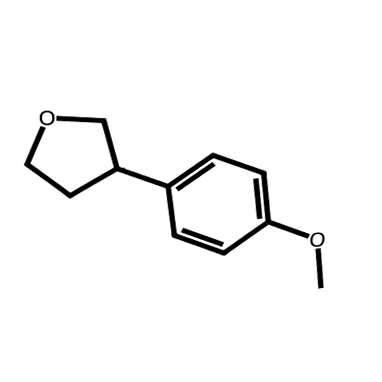 COc1ccc([C]2CCOC2)cc1